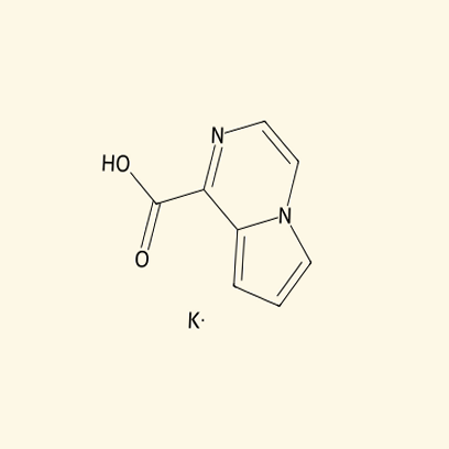 O=C(O)c1nccn2cccc12.[K]